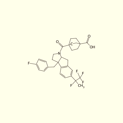 CC(F)(c1ccc2c(c1)CC1N(C(=O)C34CCC(C(=O)O)(CC3)CC4)CCC21Cc1ccc(F)cc1)C(F)(F)F